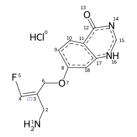 Cl.NC/C(=C/F)COc1ccc2c(=O)nc[nH]c2c1